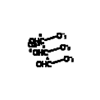 O=C[O-].O=C[O-].O=C[O-].[Ga+3]